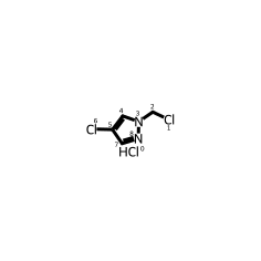 Cl.ClCn1cc(Cl)cn1